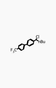 CCCCC(Cl)c1ccc(-c2ccc(C(F)(F)F)cc2)cc1